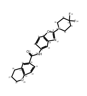 O=C(Nc1ccc2oc(N3CCC(F)(F)CC3)nc2c1)c1ccc2c(c1)CCCO2